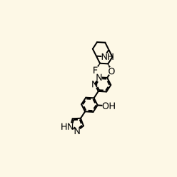 Oc1cc(-c2cn[nH]c2)ccc1-c1ccc(O[C@@H]2CC3CCCC(N3)[C@@H]2F)nn1